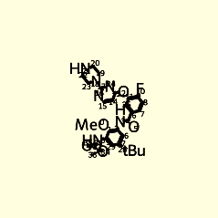 COc1c(NC(=O)c2ccc(F)c(Oc3ccnc(N4CCNCC4)n3)c2)cc(C(C)(C)C)cc1NS(C)(=O)=O